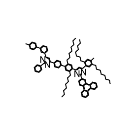 CCCCCCCCc1cc(-c2cc(-c3cc(CCCCCCCC)c(-c4ccc(-c5cc(-c6cccc(-c7ccc(C)cc7)c6)nc(-c6ccccc6)n5)cc4)cc3CCCCCCCC)nc(-c3ccc4c5ccccc5c5ccccc5c4c3)n2)c(CCCCCCCC)cc1C